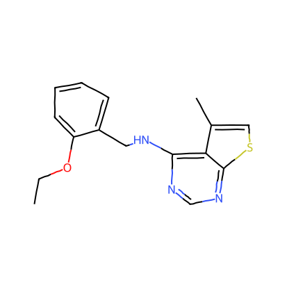 CCOc1ccccc1CNc1ncnc2scc(C)c12